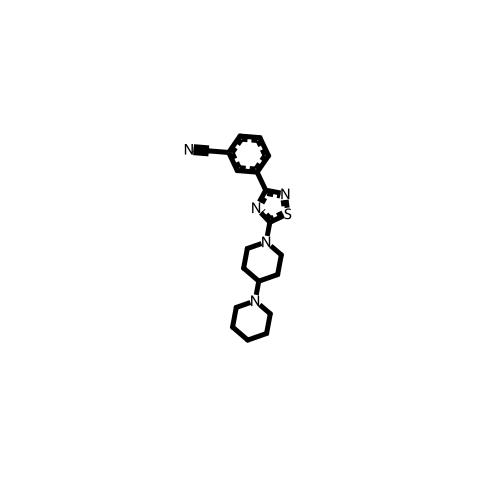 N#Cc1cccc(-c2nsc(N3CCC(N4CCCCC4)CC3)n2)c1